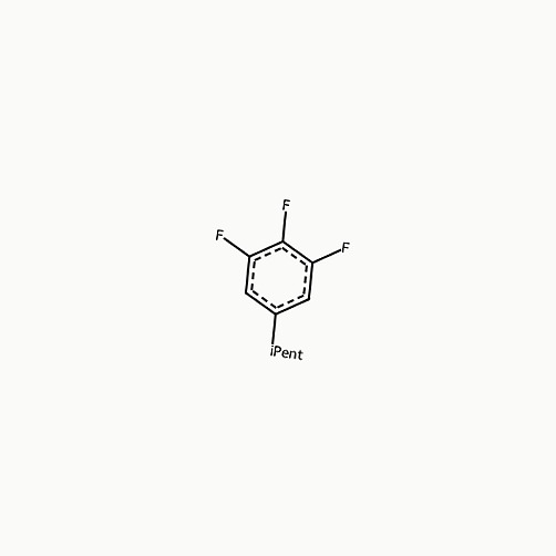 CCCC(C)c1cc(F)c(F)c(F)c1